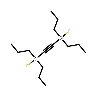 CCC[Si](F)(C#C[Si](F)(CCC)CCC)CCC